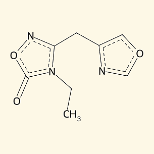 CCn1c(Cc2cocn2)noc1=O